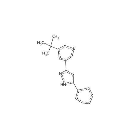 CC(C)(C)c1cncc(-c2cc(-c3ccccc3)[nH]n2)c1